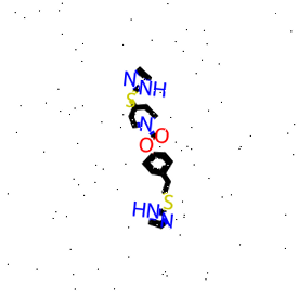 O=C(Oc1ccc(CCSc2ncc[nH]2)cc1)N1CCC(Sc2ncc[nH]2)CC1